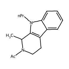 CCCn1c2c(c3ccccc31)CCN(C(C)=O)C2C